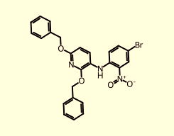 O=[N+]([O-])c1cc(Br)ccc1Nc1ccc(OCc2ccccc2)nc1OCc1ccccc1